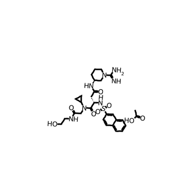 CC(=O)O.N=C(N)N1CCC[C@H](NC(=O)C[C@H](NS(=O)(=O)c2ccc3ccccc3c2)C(=O)N(CC(=O)NCCO)C2CC2)C1